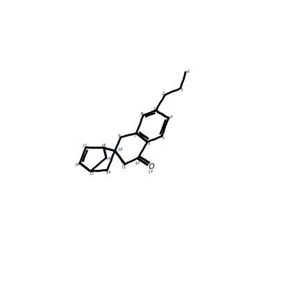 CCCc1ccc2c(c1)CC1(CC2=O)CC2C=CC1C2